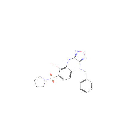 O=S(=O)(c1cccc(Nc2nonc2NCc2ccccc2)c1O)N1CCCC1